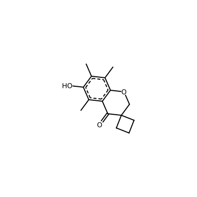 Cc1c(C)c2c(c(C)c1O)C(=O)C1(CCC1)CO2